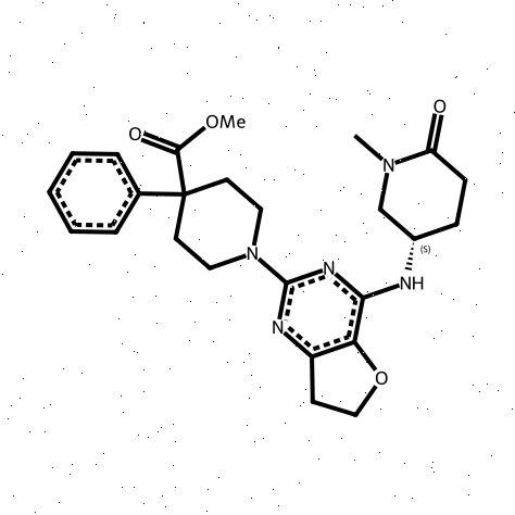 COC(=O)C1(c2ccccc2)CCN(c2nc3c(c(N[C@H]4CCC(=O)N(C)C4)n2)OCC3)CC1